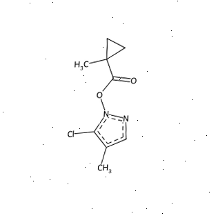 Cc1cnn(OC(=O)C2(C)CC2)c1Cl